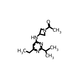 CCc1cc(NC2CN(C(C)=O)C2)nc(C(C)C)n1